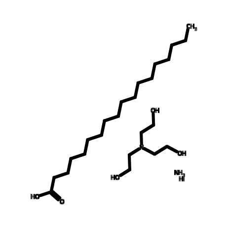 CCCCCCCCCCCCCCCCCC(=O)O.I.N.OCCN(CCO)CCO